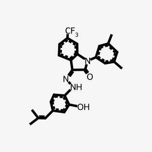 CC(C)=Cc1ccc(N/N=C2\C(=O)N(c3cc(C)cc(C)c3)c3cc(C(F)(F)F)ccc32)c(O)c1